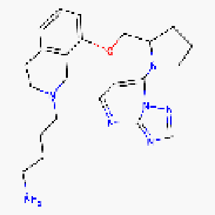 NCCCCN1CCc2cccc(OCC3CCCN3c3ccnc4ncnn34)c2C1